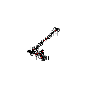 CC[C@@]1(O)C(=O)OCc2c1cc1n(c2=O)Cc2c-1nc1cc(F)c(C)c3c1c2[C@@H](N1CCC(OCNC(=O)CNC(=O)[C@H](Cc2ccccc2)NC(=O)CNC(=O)CNC(=O)COCCOCCOCCOCCOCCOCCOCCOCCNC(=O)CCCCCN2C(=O)C=CC2=O)C1=O)CC3